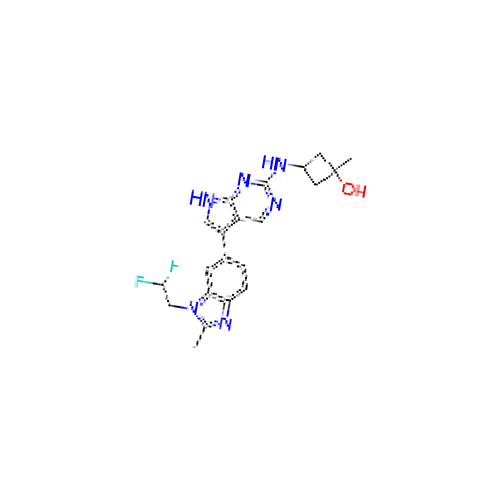 Cc1nc2ccc(-c3c[nH]c4nc(NC5CC(C)(O)C5)ncc34)cc2n1CC(F)F